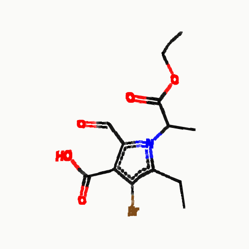 CCOC(=O)C(C)n1c(C=O)c(C(=O)O)c(Br)c1CC